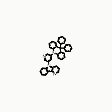 c1ccc(C2(c3ccccc3)c3ccccc3N(c3cncc(-n4c5ccccc5c5ncccc54)c3)c3ccccc32)cc1